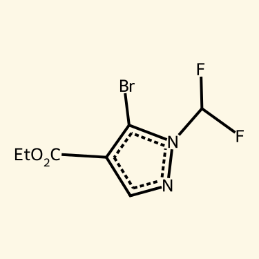 CCOC(=O)c1cnn(C(F)F)c1Br